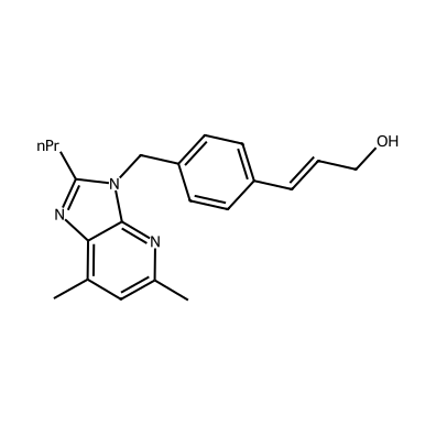 CCCc1nc2c(C)cc(C)nc2n1Cc1ccc(/C=C/CO)cc1